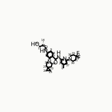 Cc1cc(NC(=O)c2ccc(NS[C@@H](C)CO)cc2N2CCC3(CC2)CC3)nc(N2CCC(F)(F)CC2)c1